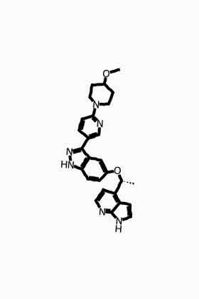 COC1CCN(c2ccc(-c3n[nH]c4ccc(O[C@H](C)c5ccnc6[nH]ccc56)cc34)cn2)CC1